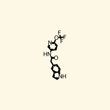 O=C(Cc1ccc2[nH]ccc2c1)Nc1ccc(OC(F)(F)F)nc1